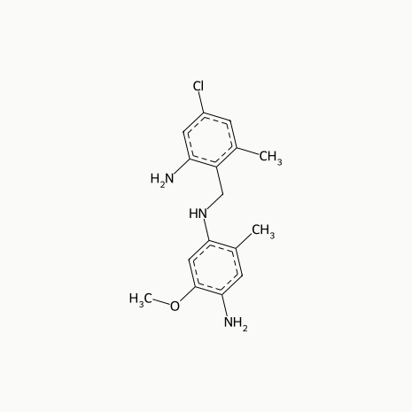 COc1cc(NCc2c(C)cc(Cl)cc2N)c(C)cc1N